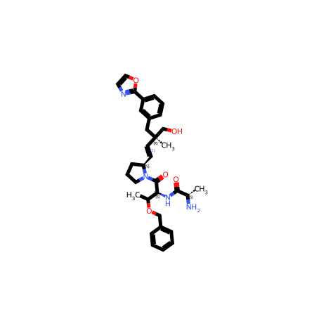 CC(OCc1ccccc1)[C@H](NC(=O)[C@H](C)N)C(=O)N1CCC[C@H]1/C=C/[C@](C)(CO)Cc1cccc(-c2ncco2)c1